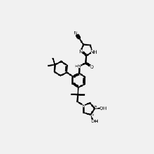 CC1(C)CC=C(c2cc(C(C)(C)CN3C[C@@H](O)[C@@H](O)C3)ccc2NC(=O)C2=NC(C#N)CN2)CC1